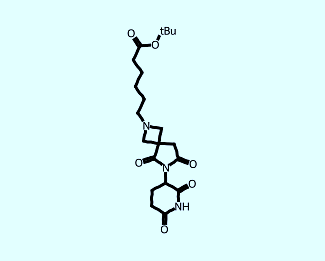 CC(C)(C)OC(=O)CCCCCN1CC2(CC(=O)N(C3CCC(=O)NC3=O)C2=O)C1